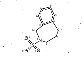 CCCS(=O)(=O)N1CCSc2ccccc2C1